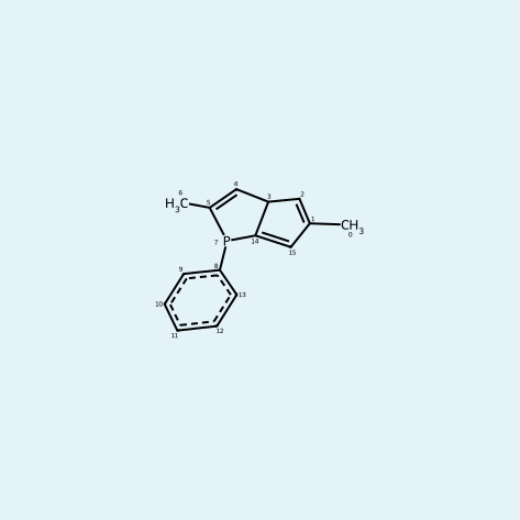 CC1=CC2C=C(C)P(c3ccccc3)C2=C1